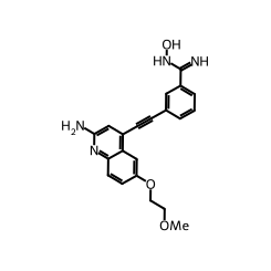 COCCOc1ccc2nc(N)cc(C#Cc3cccc(C(=N)NO)c3)c2c1